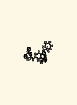 CC1(COc2ccc(/C=C(/C=O)SC=O)cc2C(F)(F)F)CCCCC1